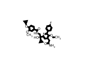 CCOc1c(CC(N)=O)cc([C@@](O)(CNC(=O)c2ccc(OC3CC3)c(OC)c2)C2CC2)nc1-c1ccc(F)cc1